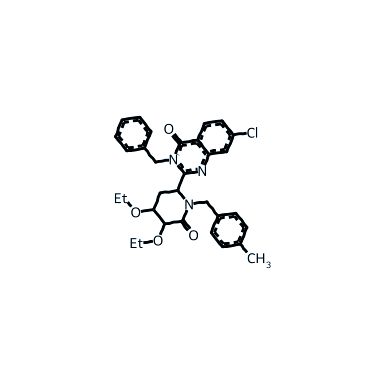 CCOC1CC(c2nc3cc(Cl)ccc3c(=O)n2Cc2ccccc2)N(Cc2ccc(C)cc2)C(=O)C1OCC